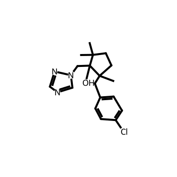 CC1(C)CCC(C)(Cc2ccc(Cl)cc2)C1(O)Cn1cncn1